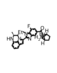 CC[C@@H]1[C@H](C)Nc2cccc3cc(-c4nc5cc(C(=O)N6C[C@H]7CC[C@@H]6[C@@H]7N)cc(F)c5n4C)n1c23